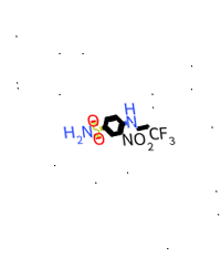 NS(=O)(=O)c1ccc(NCCC(F)(F)F)c([N+](=O)[O-])c1